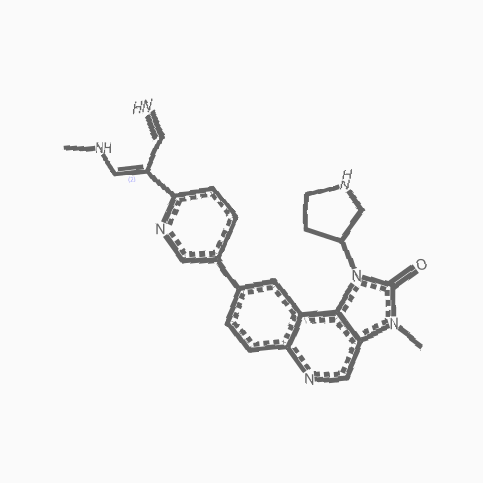 CN/C=C(\C=N)c1ccc(-c2ccc3ncc4c(c3c2)n(C2CCNC2)c(=O)n4C)cn1